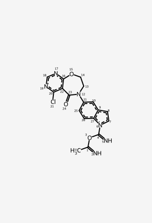 CC(=N)OC(=N)n1ccc2cc(N3CCOc4ncnc(Cl)c4C3=O)ccc21